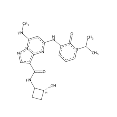 CNc1cc(Nc2cccn(C(C)C)c2=O)nc2c(C(=O)NC3CC[C@H]3O)cnn12